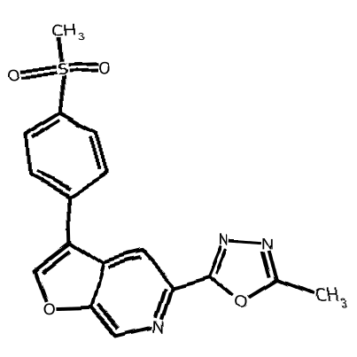 Cc1nnc(-c2cc3c(-c4ccc(S(C)(=O)=O)cc4)coc3cn2)o1